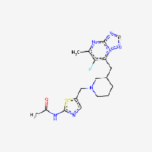 CC(=O)Nc1ncc(CN2CCCC(Cc3c(F)c(C)nc4ncnn34)C2)s1